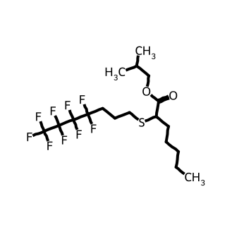 CCCCCC(SCCCC(F)(F)C(F)(F)C(F)(F)C(F)(F)F)C(=O)OCC(C)C